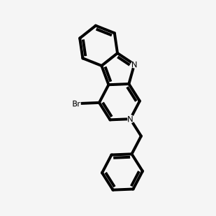 Brc1cn(Cc2ccccc2)cc2nc3ccccc3c1-2